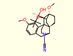 COc1ccc2c3c1OC1C34CCN(C#N)C(C2)[C@]42CC[C@@]1(OC)C([C@](C)(O)C(C)(C)C)C2